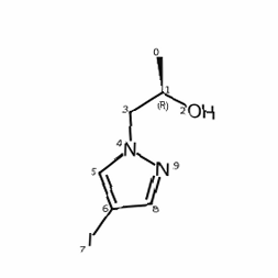 C[C@@H](O)Cn1cc(I)cn1